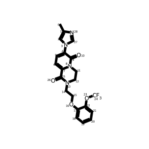 Cc1cn(-c2ccc3n(c2=O)CCN(CCOc2ccccc2OC(F)(F)F)C3=O)cn1